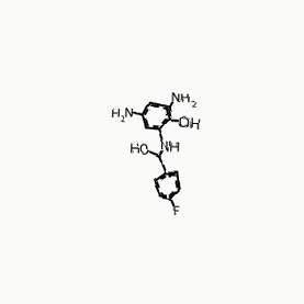 Nc1cc(N)c(O)c(NC(O)c2ccc(F)cc2)c1